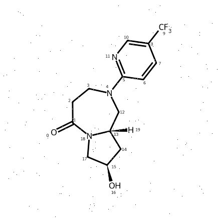 O=C1CCN(c2ccc(C(F)(F)F)cn2)C[C@@H]2C[C@@H](O)CN12